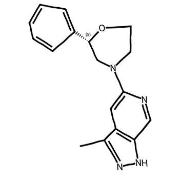 Cc1n[nH]c2cnc(N3CCO[C@@H](c4ccccc4)C3)cc12